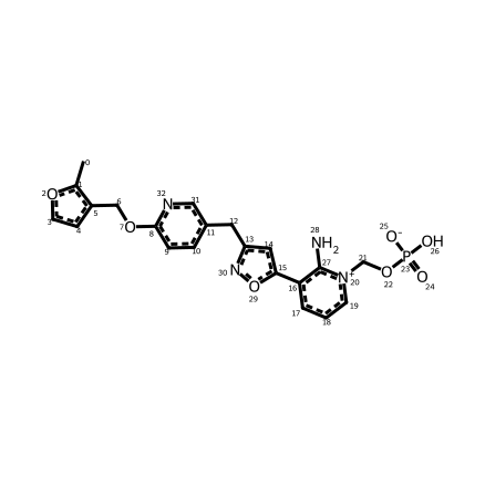 Cc1occc1COc1ccc(Cc2cc(-c3ccc[n+](COP(=O)([O-])O)c3N)on2)cn1